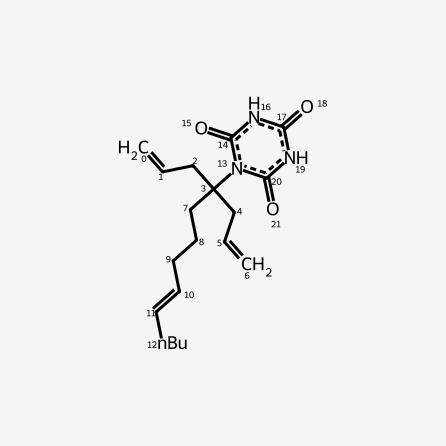 C=CCC(CC=C)(CCCC=CCCCC)n1c(=O)[nH]c(=O)[nH]c1=O